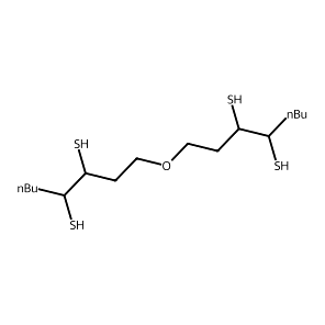 CCCCC(S)C(S)CCOCCC(S)C(S)CCCC